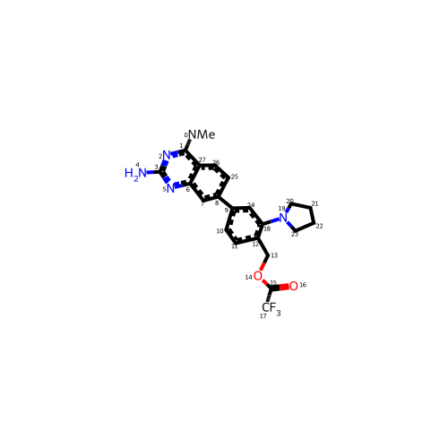 CNc1nc(N)nc2cc(-c3ccc(COC(=O)C(F)(F)F)c(N4CCCC4)c3)ccc12